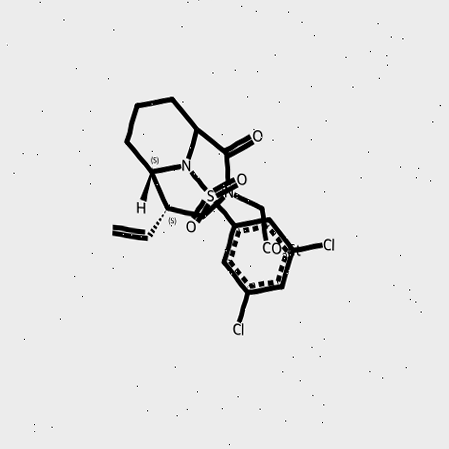 C=C[C@H]1CN(CC(=O)OCC)C(=O)C2CCC[C@@H]1N2S(=O)(=O)c1cc(Cl)cc(Cl)c1